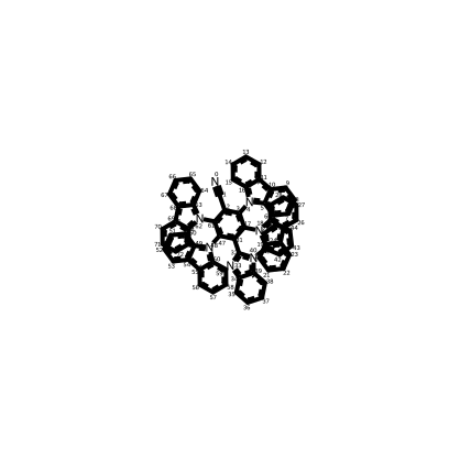 N#Cc1c(-n2c3ccccc3c3ccccc32)c(-n2c3ccccc3c3ccccc32)c(-c2nc3ccccc3n2-c2ccccc2)c(-n2c3ccccc3c3ccccc32)c1-n1c2ccccc2c2ccccc21